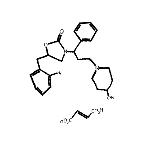 O=C(O)C=CC(=O)O.O=C1OC(Cc2ccccc2Br)CN1C(CCN1CCC(O)CC1)c1ccccc1